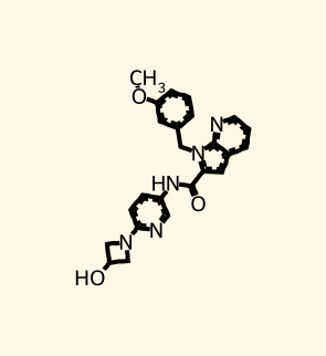 COc1cccc(Cn2c(C(=O)Nc3ccc(N4CC(O)C4)nc3)cc3cccnc32)c1